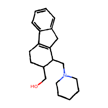 OCC1CCC2=C(Cc3ccccc32)C1CN1CCCCC1